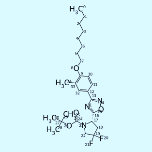 CCCCCCCCOc1ccc(-c2noc([C@@H]3CC(F)(F)CN3C(=O)OC(C)(C)C)n2)cc1C